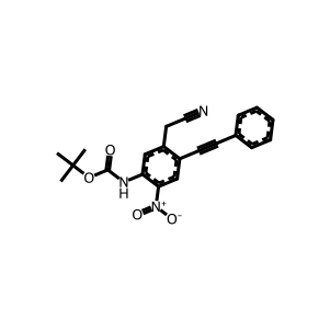 CC(C)(C)OC(=O)Nc1cc(CC#N)c(C#Cc2ccccc2)cc1[N+](=O)[O-]